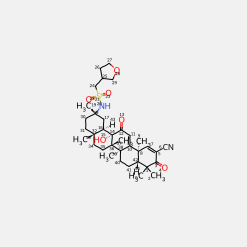 CC1(C)C(=O)C(C#N)=C[C@]2(C)C3=CC(=O)[C@]4(O)[C@@H]5C[C@@](C)(NS(=O)(=O)CC6CCOC6)CC[C@@]5(C)CC[C@@]4(C)[C@]3(C)CC[C@@H]12